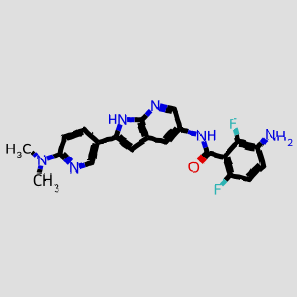 CN(C)c1ccc(-c2cc3cc(NC(=O)c4c(F)ccc(N)c4F)cnc3[nH]2)cn1